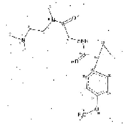 CN(C)CCN(C)C(=O)CNC(=O)C1(c2ccc(OC(F)(F)F)cc2)CC1